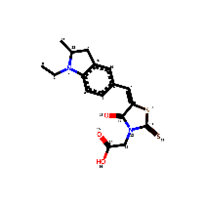 CCN1c2ccc(/C=C3/SC(=S)N(CC(=O)O)C3=O)cc2CC1C